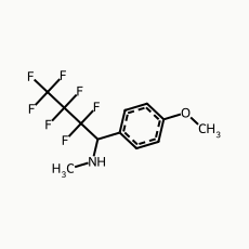 CNC(c1ccc(OC)cc1)C(F)(F)C(F)(F)C(F)(F)F